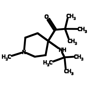 CN1CCC(NC(C)(C)C)(C(=O)C(C)(C)C)CC1